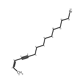 C/C=C\C#CCCCCCCCCCBr